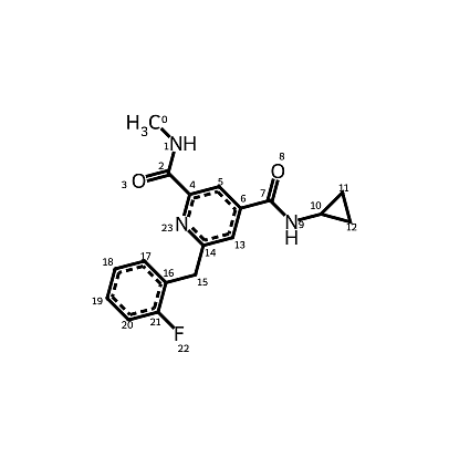 CNC(=O)c1cc(C(=O)NC2CC2)cc(Cc2ccccc2F)n1